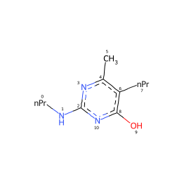 CCCNc1nc(C)c(CCC)c(O)n1